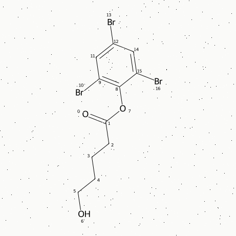 O=C(CCCCO)Oc1c(Br)cc(Br)cc1Br